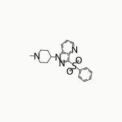 CN1CCC(n2nc(S(=O)(=O)c3ccccc3)c3ncccc32)CC1